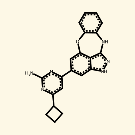 Nc1nc(-c2cc3c4c(n[nH]c4c2)Nc2ccccc2O3)cc(C2CCC2)n1